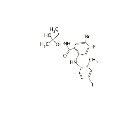 CCC(C)(O)ONC(=O)c1cc(Br)c(F)cc1Nc1ccc(I)cc1C